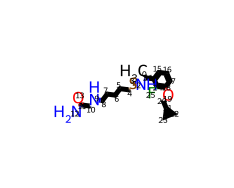 C[C@H](NSCCCCCNCC(N)=O)c1cccc(OCC2CC2)c1F